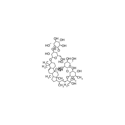 C[C@H](CC[C@@H](O[C@@H]1O[C@H](C)[C@@H](O)[C@H](O)[C@H]1O[C@H]1O[C@@H](CO)[C@H](O)[C@@H](O)[C@@H]1O)C(C)(C)O)C1CC[C@@]2(C)C3CC=C4C(CC[C@H](O[C@@H]5O[C@H](CO)[C@@H](O[C@H]6O[C@H](CO)[C@@H](O)[C@H](O)[C@H]6O)[C@H](O)[C@H]5O)C4(C)C)[C@]3(C)[C@H](O)C[C@]12C